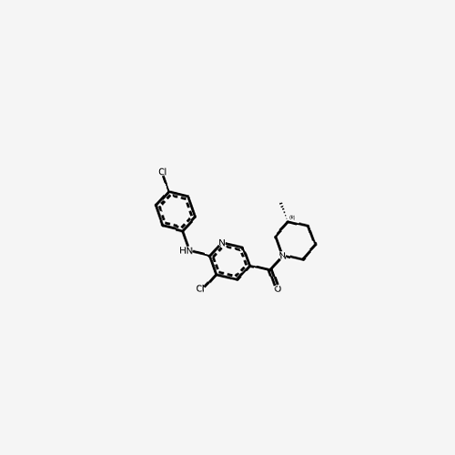 C[C@@H]1CCCN(C(=O)c2cnc(Nc3ccc(Cl)cc3)c(Cl)c2)C1